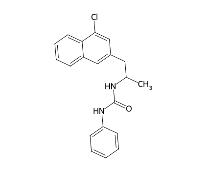 CC(Cc1cc(Cl)c2ccccc2c1)NC(=O)Nc1ccccc1